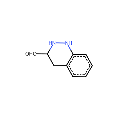 O=CC1Cc2ccccc2NN1